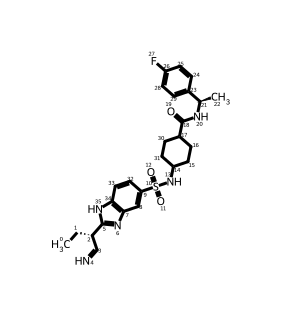 CC[C@@H](C=N)c1nc2cc(S(=O)(=O)NC3CCC(C(=O)N[C@H](C)c4ccc(F)cc4)CC3)ccc2[nH]1